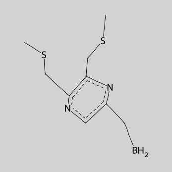 BCc1cnc(CSC)c(CSC)n1